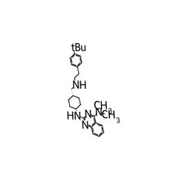 CN(C)c1nc(N[C@H]2CC[C@@H](CNCCc3ccc(C(C)(C)C)cc3)CC2)nc2ccccc12